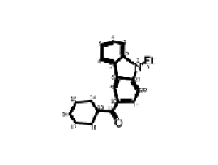 CCn1c2ccccc2c2cc(C(=O)C3CCCCC3)ccc21